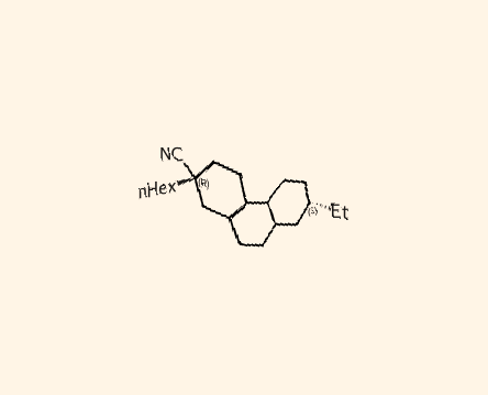 CCCCCC[C@@]1(C#N)CCC2C(CCC3C[C@@H](CC)CCC32)C1